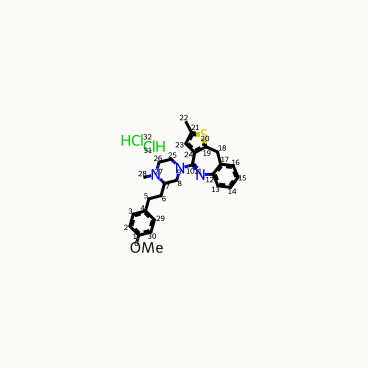 COc1ccc(CCC2CN(C3=Nc4ccccc4Cc4sc(C)cc43)CCN2C)cc1.Cl.Cl